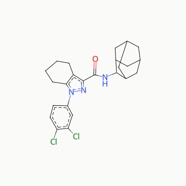 O=C(NC1C2CC3CC(C2)CC1C3)c1nn(-c2ccc(Cl)c(Cl)c2)c2c1CCCC2